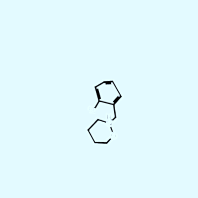 Clc1ccccc1C[SiH]1CCCCO1